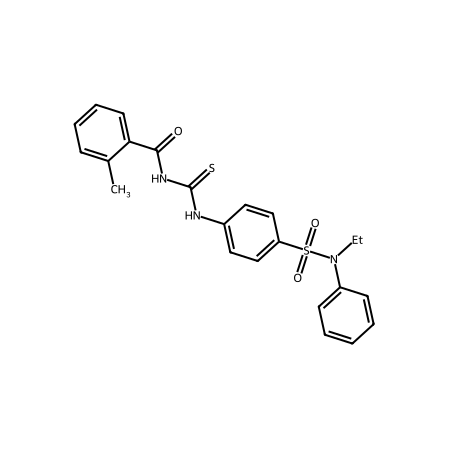 CCN(c1ccccc1)S(=O)(=O)c1ccc(NC(=S)NC(=O)c2ccccc2C)cc1